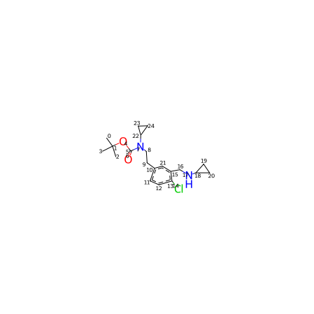 CC(C)(C)OC(=O)N(CCc1ccc(Cl)c(CNC2CC2)c1)C1CC1